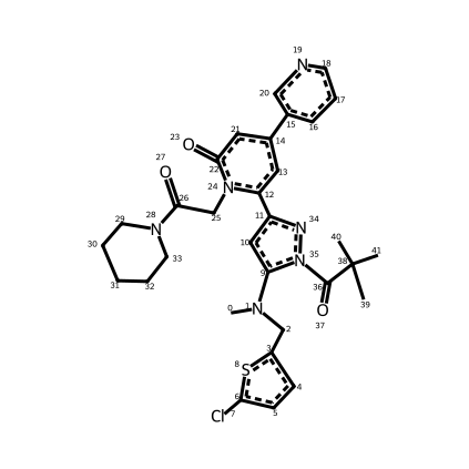 CN(Cc1ccc(Cl)s1)c1cc(-c2cc(-c3cccnc3)cc(=O)n2CC(=O)N2CCCCC2)nn1C(=O)C(C)(C)C